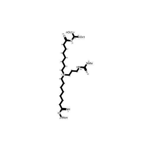 CCCCCCCCCOC(=N)CCCCCCCN(CCCCCCCC(=O)OC(CCCCCCCC)CCCCCCCC)CCCNC(=S)NC